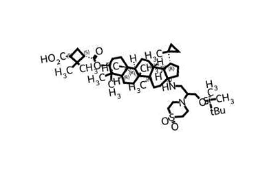 CC1([C@@H]2CC[C@]3(NCC(CO[Si](C)(C)C(C)(C)C)N4CCS(=O)(=O)CC4)CC[C@]4(C)[C@H](CC[C@@H]5[C@@]6(C)CC[C@H](OC(=O)[C@H]7C[C@@H](C(=O)O)C7(C)C)C(C)(C)[C@@H]6CC[C@]54C)[C@@H]23)CC1